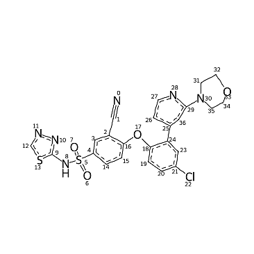 N#Cc1cc(S(=O)(=O)Nc2nncs2)ccc1Oc1ccc(Cl)cc1-c1ccnc(N2CCOCC2)c1